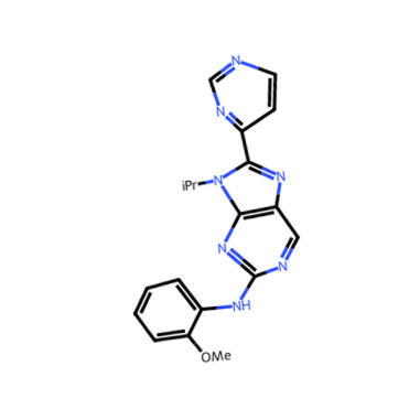 COc1ccccc1Nc1ncc2nc(-c3ccncn3)n(C(C)C)c2n1